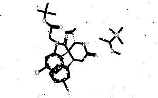 C=C(C)[C@@H]1NC(=S)C[C@@H](c2cccc(Cl)c2)[C@]12C(=O)N(CC(=O)OC(C)(C)C)c1cc(Cl)ccc12.COC(C)[Si](C)(C)C